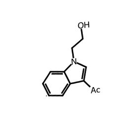 CC(=O)c1cn(CCO)c2cc[c]cc12